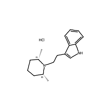 C[C@@H]1CCC[C@H](C)N1CCc1c[nH]c2ccccc12.Cl